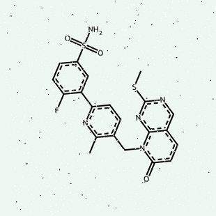 CSc1ncc2ccc(=O)n(Cc3ccc(-c4cc(S(N)(=O)=O)ccc4F)nc3C)c2n1